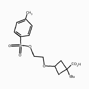 Cc1ccc(S(=O)(=O)OCCOC2CC(C(=O)O)(C(C)(C)C)C2)cc1